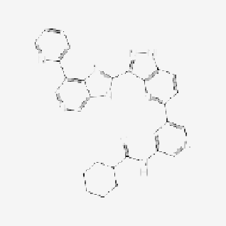 O=C(Nc1cncc(-c2ccc3[nH]nc(-c4nc5c(-c6ccccn6)cncc5[nH]4)c3n2)c1)C1CCCCC1